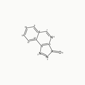 O=C1N=Nc2c1ncc1ccccc21